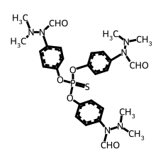 CN(C)N(C=O)c1ccc(OP(=S)(Oc2ccc(N(C=O)N(C)C)cc2)Oc2ccc(N(C=O)N(C)C)cc2)cc1